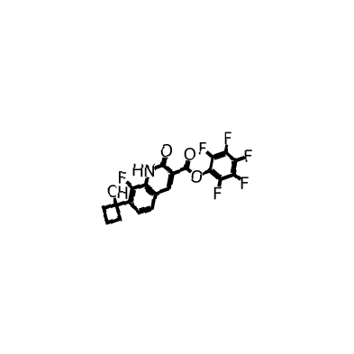 CC1(c2ccc3cc(C(=O)Oc4c(F)c(F)c(F)c(F)c4F)c(=O)[nH]c3c2F)CCC1